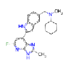 Cc1nc2c(-c3cc4cc(CN(C)C5CCCCC5)ccc4[nH]3)cc(F)nc2[nH]1